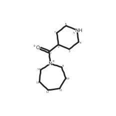 O=C(C1CCNCC1)N1CCCCCC1